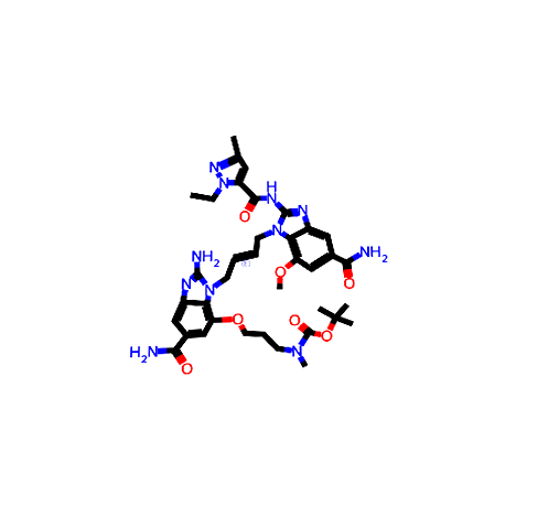 CCn1nc(C)cc1C(=O)Nc1nc2cc(C(N)=O)cc(OC)c2n1C/C=C/Cn1c(N)nc2cc(C(N)=O)cc(OCCCN(C)C(=O)OC(C)(C)C)c21